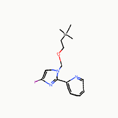 C[Si](C)(C)CCOCn1cc(I)nc1-c1ccccn1